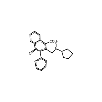 CN(Cc1c(C(=O)O)c2ccccc2c(=O)n1-c1ccccc1)C1CCCC1